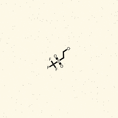 [O]CCS(=O)(=O)C(F)(F)F